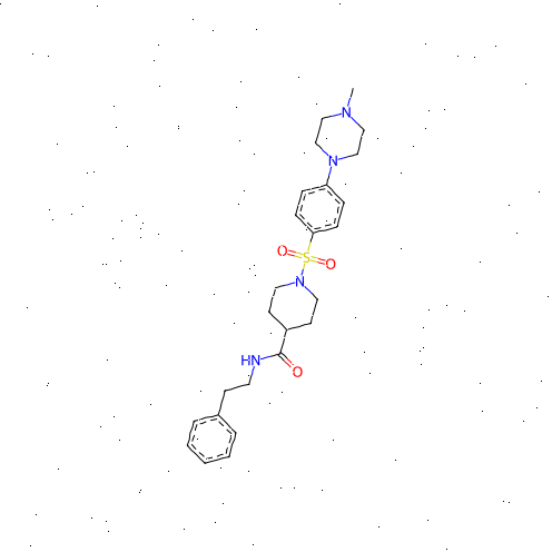 CN1CCN(c2ccc(S(=O)(=O)N3CCC(C(=O)NCCc4ccccc4)CC3)cc2)CC1